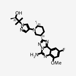 COc1cc(F)cc2c1nc(N)n1nc([C@H]3CC[C@@H](C)N(c4cnn(C(C)(C)[C@@H](C)O)c4)C3)nc21